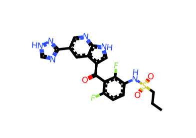 CCCS(=O)(=O)Nc1ccc(F)c(C(=O)c2c[nH]c3ncc(-c4nc[nH]n4)cc23)c1F